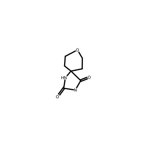 O=C1[N]C(=O)C2(CCOCC2)N1